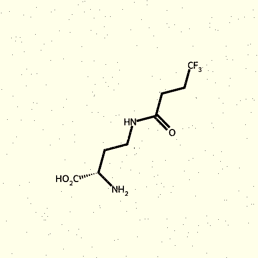 N[C@@H](CCNC(=O)CCC(F)(F)F)C(=O)O